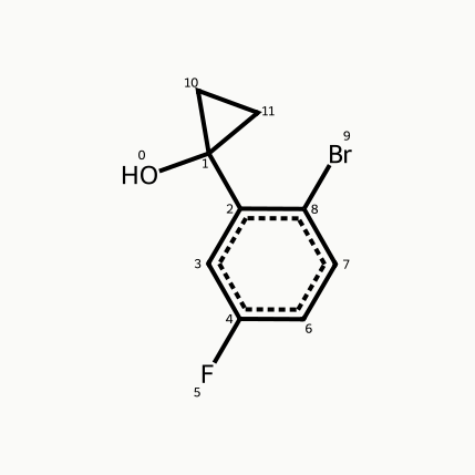 OC1(c2cc(F)ccc2Br)CC1